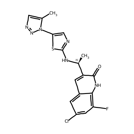 Cc1cnnn1-c1cnc(N[C@@H](C)c2cc3cc(Cl)cc(F)c3[nH]c2=O)s1